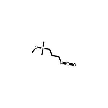 CO[Si](C)(C)CCCN=C=O